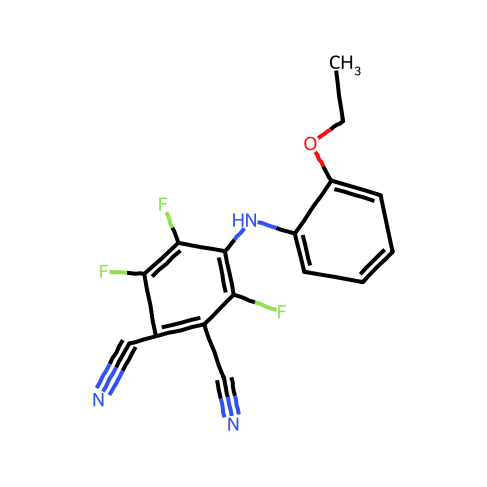 CCOc1ccccc1Nc1c(F)c(F)c(C#N)c(C#N)c1F